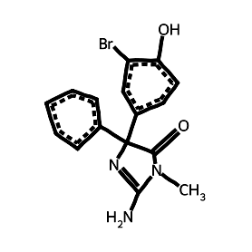 CN1C(=O)C(c2ccccc2)(c2ccc(O)c(Br)c2)N=C1N